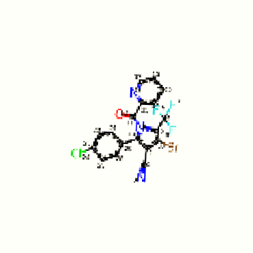 N#Cc1c(Br)c(C(F)(F)F)n(C(=O)c2ccccn2)c1-c1ccc(Cl)cc1